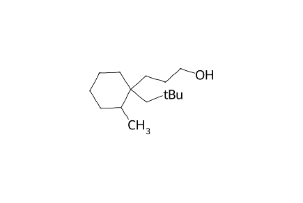 CC1CCCCC1(CCCO)CC(C)(C)C